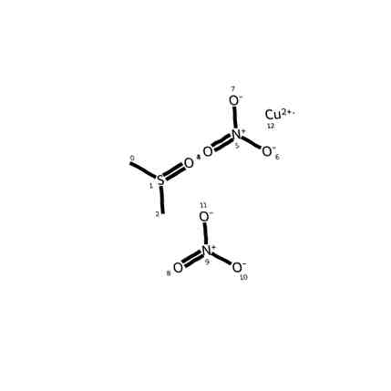 CS(C)=O.O=[N+]([O-])[O-].O=[N+]([O-])[O-].[Cu+2]